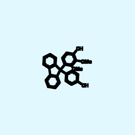 COc1c(O)ccc(C2(c3ccc(O)cc3)c3ccccc3-c3ccccc32)c1OC